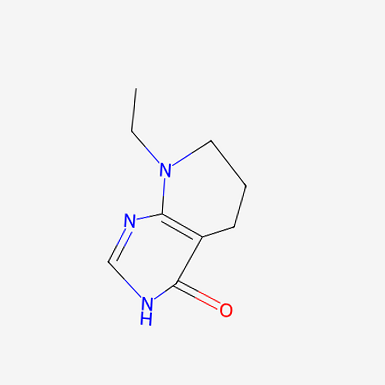 CCN1CCCc2c1nc[nH]c2=O